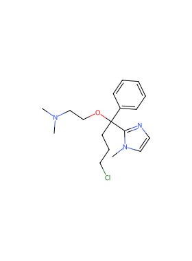 CN(C)CCOC(CCCCl)(c1ccccc1)c1nccn1C